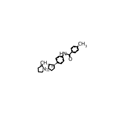 Cc1ccc(C(=O)Nc2ccc([C@H]3CC[C@H](N4CCC[C@@H]4C)C3)cc2)cc1